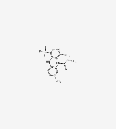 C=CC(=O)Nc1cc(C)ccc1Nc1nc(N)ncc1C(F)(F)F